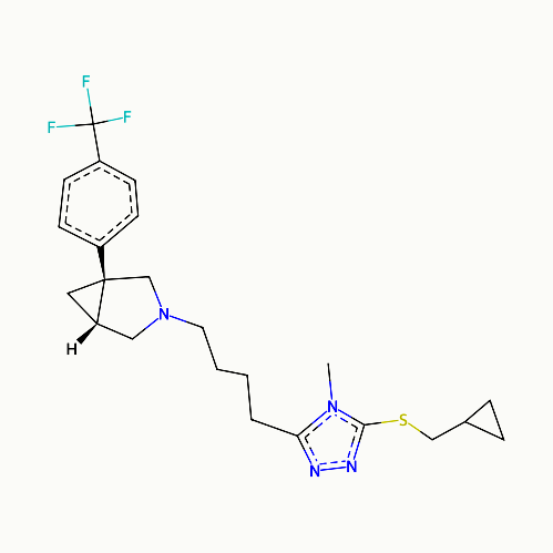 Cn1c(CCCCN2C[C@@H]3C[C@]3(c3ccc(C(F)(F)F)cc3)C2)nnc1SCC1CC1